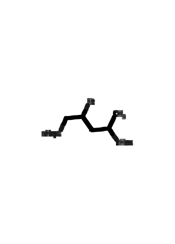 CCCCCCCCC([CH]C(C)CCCCCC)CC